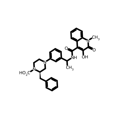 CC(NC(=O)c1c(O)c(=O)n(C)c2ccccc12)c1cccc(N2CCN(C(=O)O)[C@H](Cc3ccccc3)C2)c1